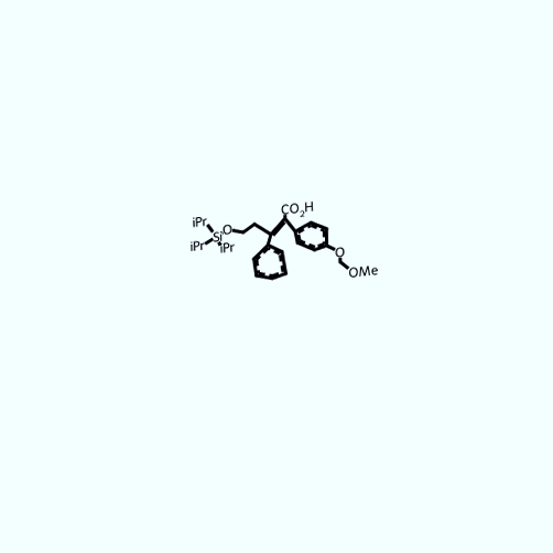 COCOc1ccc(C(C(=O)O)=C(CCO[Si](C(C)C)(C(C)C)C(C)C)c2ccccc2)cc1